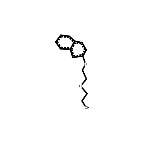 OCCOCCOc1ccc2cc[c]cc2c1